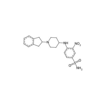 NS(=O)(=O)c1ccc(NC2CCN(C3Cc4ccccc4C3)CC2)c([N+](=O)[O-])c1